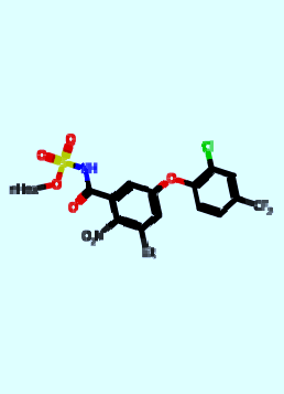 CCCCCCOS(=O)(=O)NC(=O)c1cc(Oc2ccc(C(F)(F)F)cc2Cl)cc(CC)c1[N+](=O)[O-]